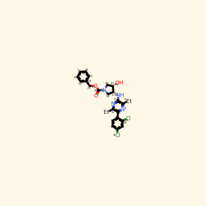 CCc1nc(-c2ccc(Cl)cc2Cl)c(CC)nc1N[C@@H]1CN(C(=O)OCc2ccccc2)C[C@@H]1O